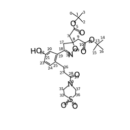 CC(C)(C)OC(=O)CC1(CC(=O)OC(C)(C)C)CC(c2cc(O)ccc2CCC(=O)N2CCS(=O)(=O)CC2)=NO1